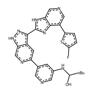 CCCCC(O)Nc1cncc(-c2cc3c(-c4nc5c(-c6ccc(F)s6)cncc5[nH]4)n[nH]c3cn2)c1